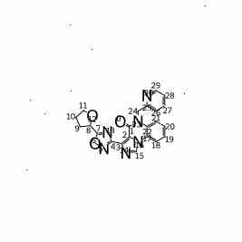 O=c1c2c(-c3noc(C4CCCO4)n3)ncn2c2ccccc2n1Cc1ccccn1